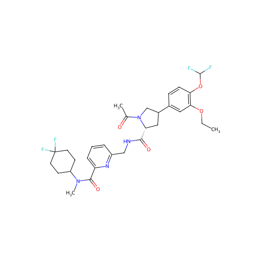 CCOc1cc(C2C[C@H](C(=O)NCc3cccc(C(=O)N(C)C4CCC(F)(F)CC4)n3)N(C(C)=O)C2)ccc1OC(F)F